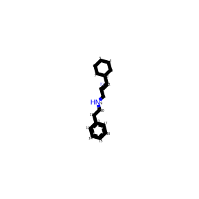 C(=C\C1CCCCC1)/CNCCc1ccccc1